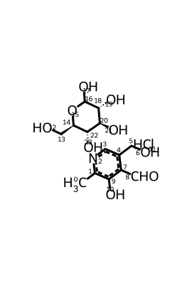 Cc1ncc(CO)c(C=O)c1O.Cl.OC[C@H]1OC(O)[C@H](O)[C@@H](O)[C@@H]1O